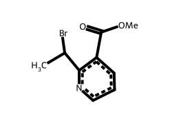 COC(=O)c1cccnc1C(C)Br